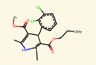 COCCOC(=O)C1=C(C)NC(C)=C(C(=O)OC(C)C)C1c1cccc(Cl)c1Cl